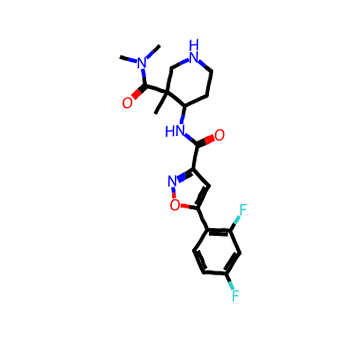 CN(C)C(=O)C1(C)CNCCC1NC(=O)c1cc(-c2ccc(F)cc2F)on1